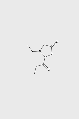 CCC(=O)C1CC(=O)CN1CC